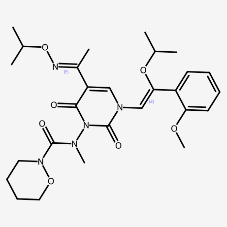 COc1ccccc1/C(=C/n1cc(/C(C)=N/OC(C)C)c(=O)n(N(C)C(=O)N2CCCCO2)c1=O)OC(C)C